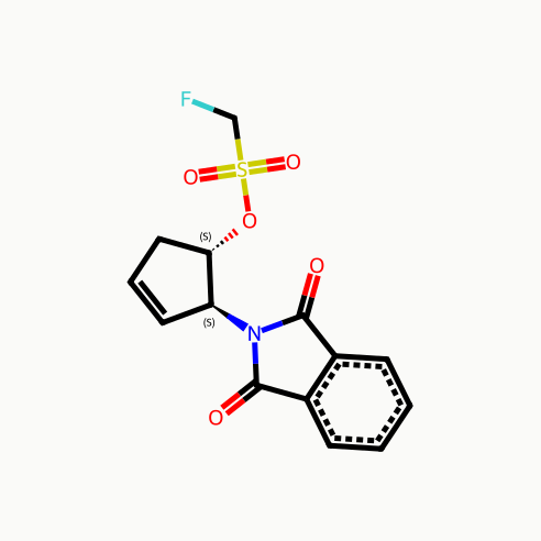 O=C1c2ccccc2C(=O)N1[C@H]1C=CC[C@@H]1OS(=O)(=O)CF